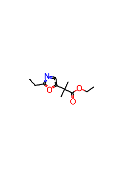 CCOC(=O)C(C)(C)c1cnc(CC)o1